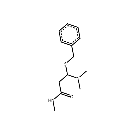 CNC(=O)CC(SCc1ccccc1)N(C)C